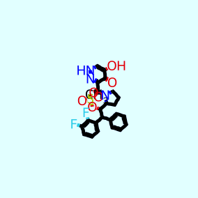 CS(=O)(=O)OC(C(c1ccccc1)c1cccc(F)c1F)C1CCCN1C(=O)c1n[nH]cc(O)c1=O